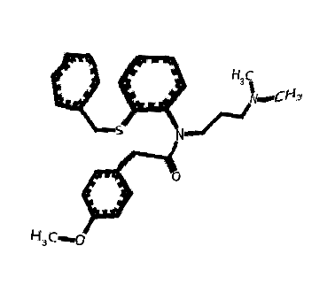 COc1ccc(CC(=O)N(CCCN(C)C)c2ccccc2SCc2ccccc2)cc1